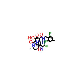 Cc1cc(F)c(CNC(=O)c2cn3c(c(O)c2=O)C(=O)N2C[C@@H]3[C@]3(CC[C@@H]2C)CC(C(F)F)=NO3)c(F)c1